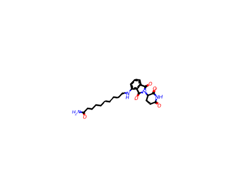 NC(=O)CCCCCCCCCNc1cccc2c1C(=O)N(C1CCC(=O)NC1=O)C2=O